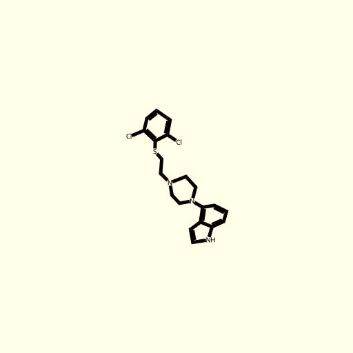 Clc1cccc(Cl)c1SCCN1CCN(c2cccc3[nH]ccc23)CC1